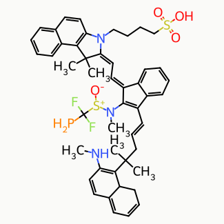 CNC1=C(C(C)(C)C/C=C/C2=C(N(C)[S+]([O-])C(F)(F)P)C(=C/C=C3/N(CCCCS(=O)(=O)O)c4ccc5ccccc5c4C3(C)C)/c3ccccc32)C2CC=CC=C2C=C1